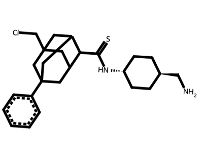 NC[C@H]1CC[C@H](NC(=S)C2C3CC4(CCl)CC2CC(c2ccccc2)(C3)C4)CC1